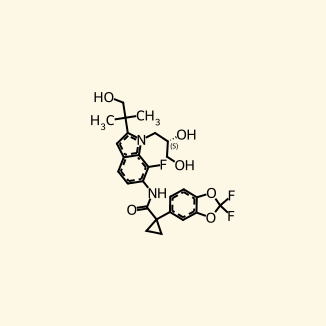 CC(C)(CO)c1cc2ccc(NC(=O)C3(c4ccc5c(c4)OC(F)(F)O5)CC3)c(F)c2n1C[C@H](O)CO